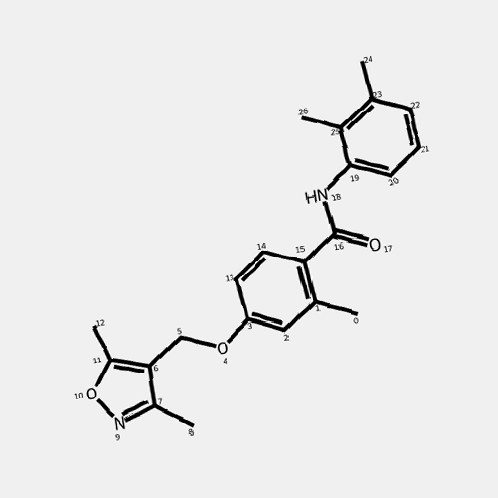 Cc1cc(OCc2c(C)noc2C)ccc1C(=O)Nc1cccc(C)c1C